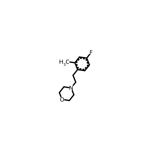 Cc1cc(F)ccc1CCN1CCOCC1